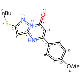 CCCCSc1cc2[nH]c(-c3ccc(OC)cc3)cc(=O)n2n1